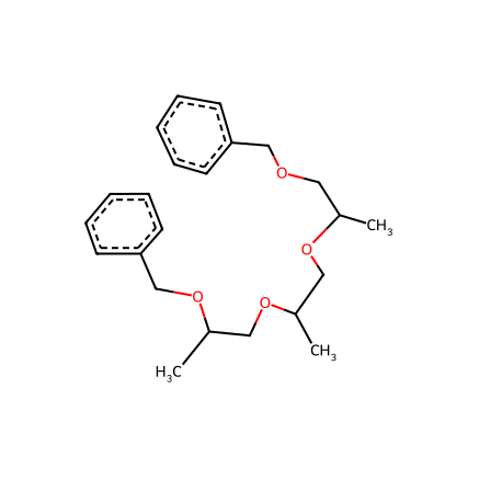 CC(COCc1ccccc1)OCC(C)OCC(C)OCc1ccccc1